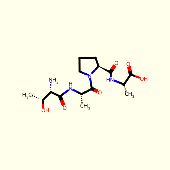 C[C@H](NC(=O)[C@@H]1CCCN1C(=O)[C@H](C)NC(=O)[C@@H](N)[C@@H](C)O)C(=O)O